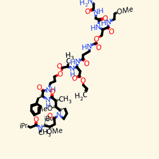 C=CCOC(=O)CC(NC(=O)CCNC(=O)OCC(NC(=O)CNC(=O)CN)C(=O)NCCOC)NC(C)C(=O)OCCCNC(=O)[C@H](Cc1ccccc1)NC(=O)[C@H](C)[C@@H](OC)[C@@H]1CCCN1C(=O)C[C@@H](OC)[C@H]([C@@H](C)CC)N(C)C(=O)CC(C)C